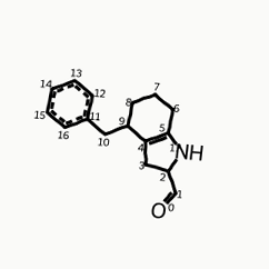 O=CC1CC2=C(CCCC2Cc2ccccc2)N1